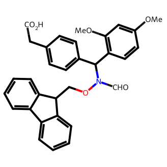 COc1ccc(C(c2ccc(CC(=O)O)cc2)N(C=O)OCC2c3ccccc3-c3ccccc32)c(OC)c1